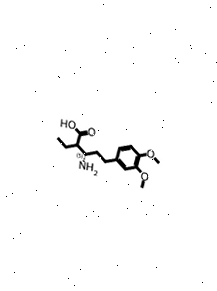 CCC(C(=O)O)[C@@H](N)CCc1ccc(OC)c(OC)c1